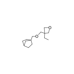 CCC1(COCC23CCC(CC2)C3)COC1